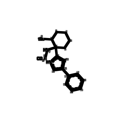 CC(C)(C)C1CCCCC1(NC(=O)O)c1nc(-c2ccccc2)c[nH]1